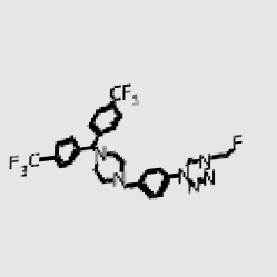 FCCN1CN(c2ccc(CN3CCN(C(c4ccc(C(F)(F)F)cc4)c4ccc(C(F)(F)F)cc4)CC3)cc2)N=N1